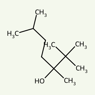 CC(C)CCC(C)(O)C(C)(C)C